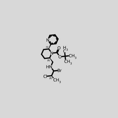 C[C@@H](Cl)C(Br)NC[C@H]1CCC[C@@H](c2ccccn2)N1C(=O)OC(C)(C)C